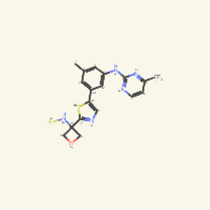 Cc1cc(Nc2nccc(C(F)(F)F)n2)cc(-c2cnc(C3(NS)COC3)s2)c1